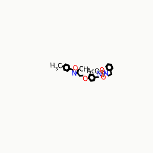 CC(=O)ON(Cc1ccc(OCCc2nc(-c3ccc(C)cc3)oc2C)cc1)S(=O)(=O)N1CCc2ccccc21